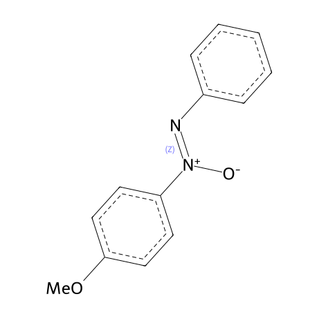 COc1ccc(/[N+]([O-])=N/c2ccccc2)cc1